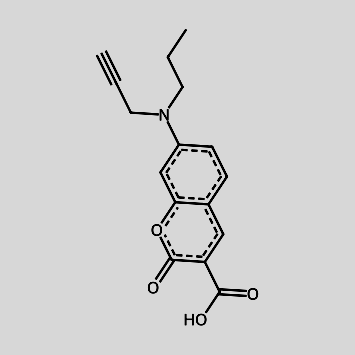 C#CCN(CCC)c1ccc2cc(C(=O)O)c(=O)oc2c1